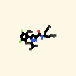 CCC(CC)Cn1nc(C(=O)N[C@@H](CCC(C)C)CC(=O)O)cc1-c1c(OC)c(F)cc(F)c1OC